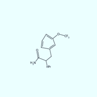 CCCC(Cc1cccc(OC(F)(F)F)c1)C(N)=O